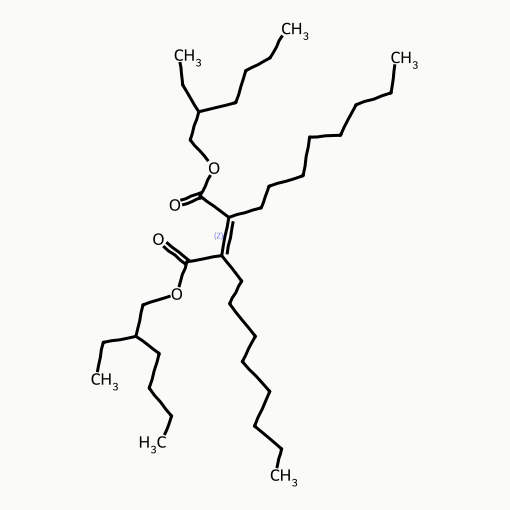 CCCCCCCC/C(C(=O)OCC(CC)CCCC)=C(\CCCCCCCC)C(=O)OCC(CC)CCCC